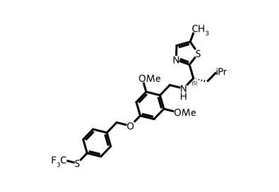 COc1cc(OCc2ccc(SC(F)(F)F)cc2)cc(OC)c1CN[C@@H](CC(C)C)c1ncc(C)s1